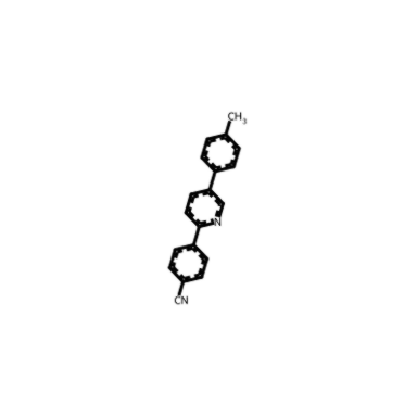 Cc1ccc(-c2ccc(-c3ccc(C#N)cc3)nc2)cc1